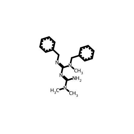 CN(C)/C(N)=N/C(=N/Cc1ccccc1)N(C)Cc1ccccc1